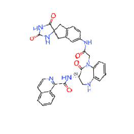 O=C(CN1C(=O)[C@@H](NC(=O)c2nccc3ccccc23)CNc2ccccc21)Nc1ccc2c(c1)CC1(C2)NC(=O)NC1=O